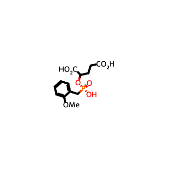 COc1ccccc1CP(=O)(O)OC(CCC(=O)O)C(=O)O